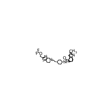 Cn1cc2c(C(=O)N[C@H]3CC[C@H](CCN4CCc5sc(COC(F)F)nc5C4)CC3)cccc2n1